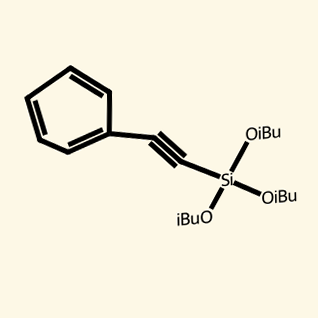 CC(C)CO[Si](C#Cc1ccccc1)(OCC(C)C)OCC(C)C